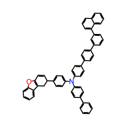 C1=CC(c2ccc(N(c3ccc(-c4ccccc4)cc3)c3ccc(-c4ccc(-c5cccc(-c6cccc7ccccc67)c5)cc4)cc3)cc2)Cc2c1oc1ccccc21